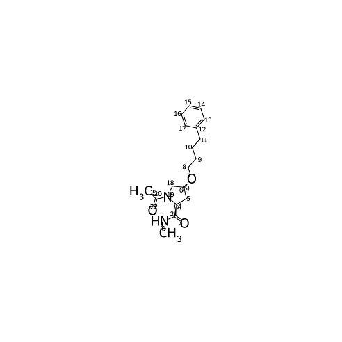 CNC(=O)[C@@H]1C[C@H](OCCCCc2ccccc2)CN1C(C)=O